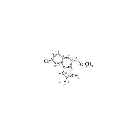 COCc1cc2cnc(Cl)cc2c(NC(C)C)n1